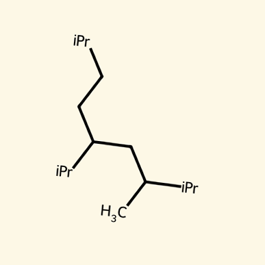 CC(C)CCC(CC(C)C(C)C)C(C)C